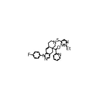 CCn1ncc(SN2CCC3=Cc4c(cnn4-c4ccc(F)cc4)CC3(C(=O)c3ccccn3)C2)n1